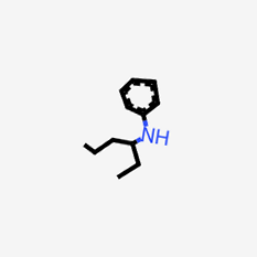 CCCC(CC)Nc1ccccc1